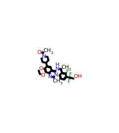 CC(=O)N1CCC(c2cc3c(N[C@H](C)c4cccc(C(F)(F)CO)c4F)nc(C)nc3c3c2OCCO3)CC1